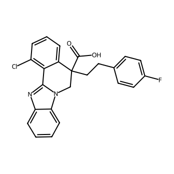 O=C(O)C1(CCc2ccc(F)cc2)Cn2c(nc3ccccc32)-c2c(Cl)cccc21